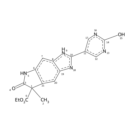 CCOC(=O)C1(C)C(=O)Nc2cc3[nH]c(-c4cnc(O)nc4)nc3cc21